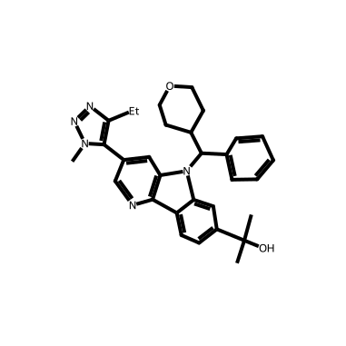 CCc1nnn(C)c1-c1cnc2c3ccc(C(C)(C)O)cc3n(C(c3ccccc3)C3CCOCC3)c2c1